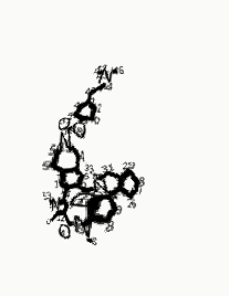 Cc1c(C(=O)N(C)c2ccccc2)cc(-c2cc3c(cc2C(=O)N2Cc4ccccc4C[C@H]2C)CN(C(=O)Oc2ccc(CCN(C)C)cc2)CC3)n1C